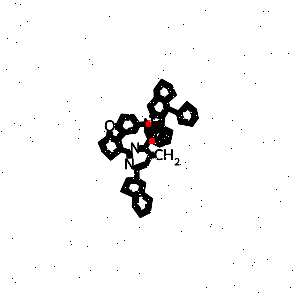 C=C1C=C(c2ccc3ccccc3c2)N=C(c2cccc3oc4ccc(-n5c6ccccc6c6c(-c7ccccc7)c7ccccc7cc65)cc4c23)N=C1c1ccccc1